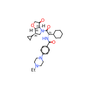 CCN1CCN(c2ccc(C(=O)N[C@H](C(=O)N3C[C@@H](C4CC4)[C@H]4OCC(=O)[C@H]43)C3CCCCC3)cc2)CC1